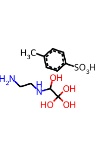 Cc1ccc(S(=O)(=O)O)cc1.NCCNC(O)C(O)(O)O